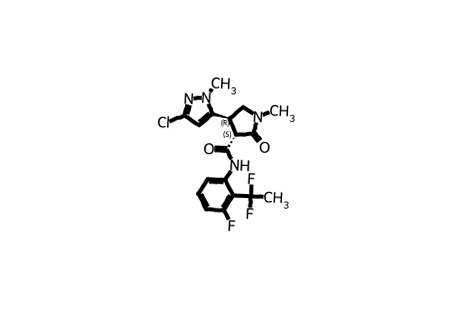 CN1C[C@H](c2cc(Cl)nn2C)[C@@H](C(=O)Nc2cccc(F)c2C(C)(F)F)C1=O